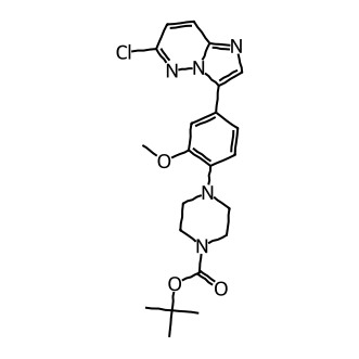 COc1cc(-c2cnc3ccc(Cl)nn23)ccc1N1CCN(C(=O)OC(C)(C)C)CC1